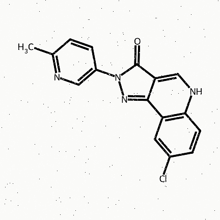 Cc1ccc(-n2nc3c4cc(Cl)ccc4[nH]cc-3c2=O)cn1